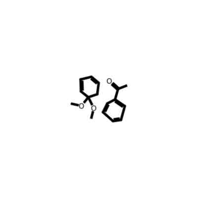 CC(=O)c1ccccc1.COC1(OC)C=CC=CC1